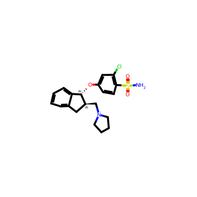 NS(=O)(=O)c1ccc(O[C@H]2c3ccccc3C[C@@H]2CN2CCCC2)cc1Cl